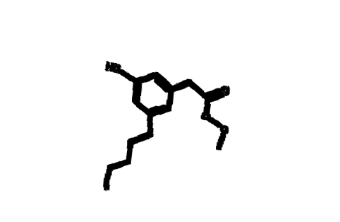 CCCCCc1cc(O)cc(CC(=O)OOC)c1